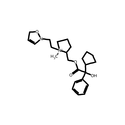 C[N@+]1(CCN2C=CCO2)CCCC1COC(=O)C(O)(c1ccccc1)C1CCCC1